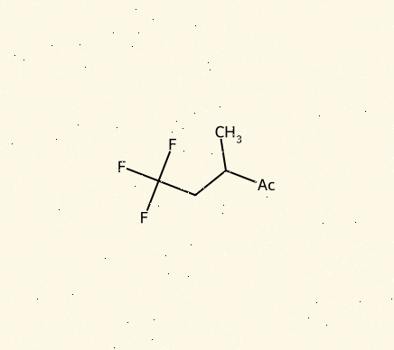 CC(=O)C(C)CC(F)(F)F